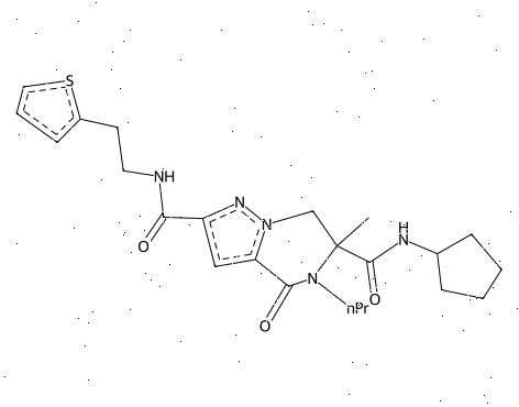 CCCN1C(=O)c2cc(C(=O)NCCc3cccs3)nn2CC1(C)C(=O)NC1CCCC1